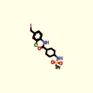 CC(C)S(=O)(=O)NC1CCC(C(=O)Nc2ccc(CI)cc2Cl)CC1